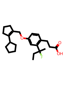 CCC(C)(F)c1cc(OCC2=C(C3CCCC3)CCC2)ccc1CCC(=O)O